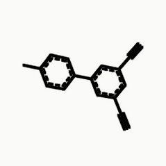 C#Cc1cc(C#C)cc(-c2ccc(C)cc2)c1